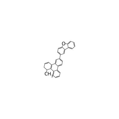 CC1CC=Cc2c1c1ccccc1c1ccc(-c3ccc4oc5ccccc5c4c3)cc21